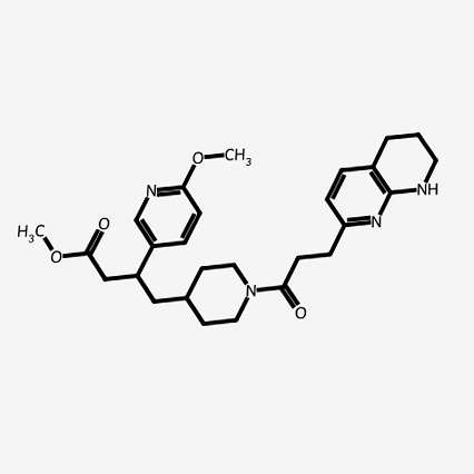 COC(=O)CC(CC1CCN(C(=O)CCc2ccc3c(n2)NCCC3)CC1)c1ccc(OC)nc1